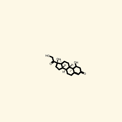 C[C@]12CC[C@H]3[C@@H](CCC4=CC(=O)CC(O)[C@@]43C)[C@@H]1CC[C@]2(O)C(=O)CO